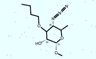 CCCCOC1[C@H](N=[N+]=[N-])C(C)O[C@H](OC)[C@@H]1O